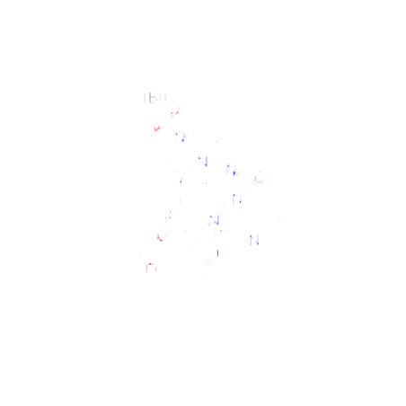 Cc1ccnc(C(C)C)c1-n1c(=O)nc(N2CCN(C(=O)OC(C)(C)C)C[C@@H]2C)c2cc(F)c(-c3c(F)ccc4c3OCCO4)nc21